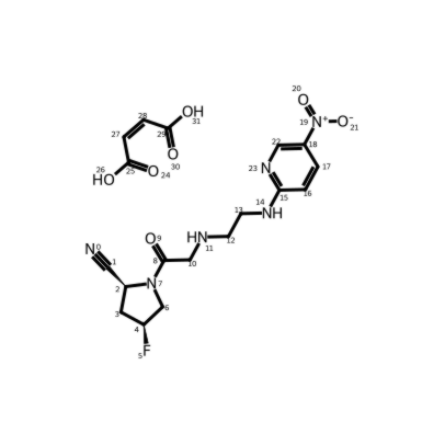 N#C[C@@H]1C[C@H](F)CN1C(=O)CNCCNc1ccc([N+](=O)[O-])cn1.O=C(O)/C=C\C(=O)O